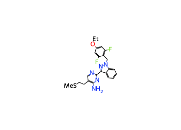 CCOc1cc(F)c(Cn2nc(-c3ncc(CCSC)c(N)n3)c3ccccc32)c(F)c1